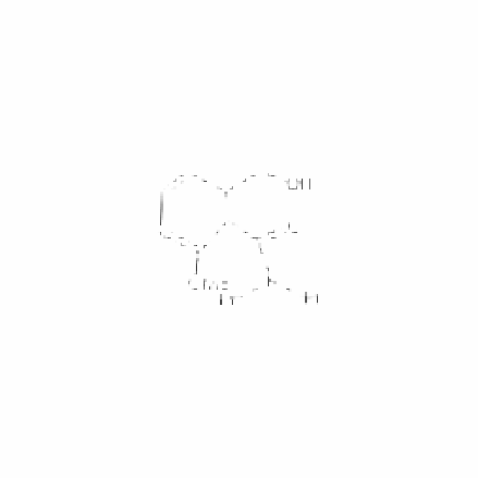 COc1nccc(CO)c1C(=O)N(C(C)C)C(C)C